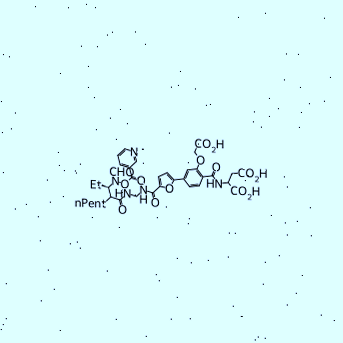 CCCCCC(C(=O)NCNC(=O)c1ccc(-c2ccc(C(=O)NC(CC(=O)O)C(=O)O)c(OCC(=O)O)c2)o1)[C@@H](CC)N(C=O)OC(=O)c1cccnc1